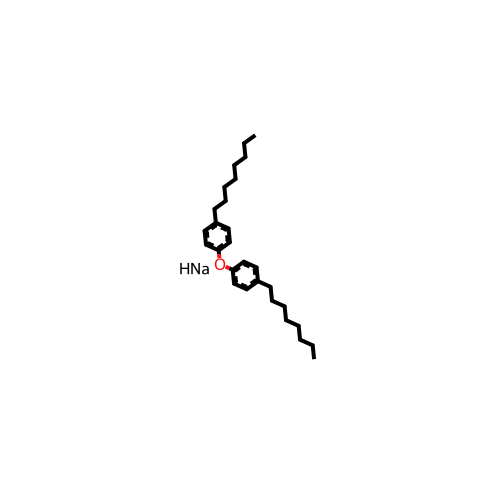 CCCCCCCCc1ccc(Oc2ccc(CCCCCCCC)cc2)cc1.[NaH]